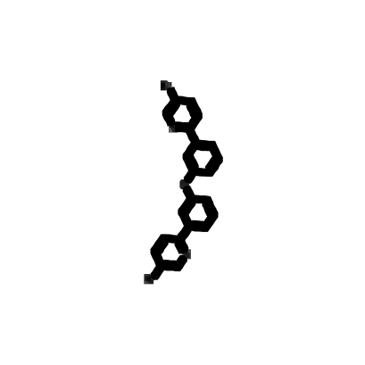 Brc1ccc(-c2cccc(Oc3cccc(-c4ccc(Br)cn4)c3)c2)nc1